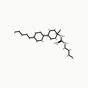 CCCCCC1CCC(C2CCC(C)(OC(=O)OCCCC)CC2)CC1